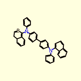 B1=CCC2C=CC=CC2=C1N(c1ccccc1)c1ccc(-c2ccc(N(c3ccccc3)c3cccc4ccccc34)cc2)cc1